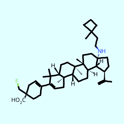 C=C(C)[C@@H]1CC[C@]2(NCCC3(C)CCC3)CC[C@]3(C)[C@H](CC[C@@H]4[C@@]5(C)CC=C(C6=CC[C@](CF)(C(=O)O)CC6)C(C)(C)[C@@H]5CC[C@]43C)[C@@H]12